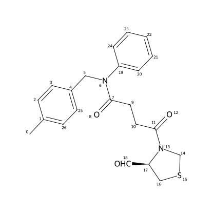 Cc1ccc(CN(C(=O)CCC(=O)N2CSC[C@H]2C=O)c2ccccc2)cc1